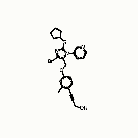 Cc1cc(OCc2c(Br)nc(SC3CCCC3)n2-c2cccnc2)ccc1C#CCO